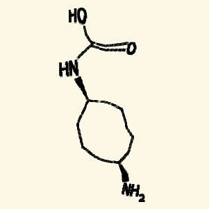 N[C@H]1CC[C@@H](NC(=O)O)CC1